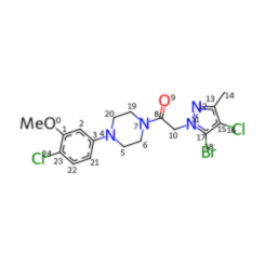 COc1cc(N2CCN(C(=O)Cn3nc(C)c(Cl)c3Br)CC2)ccc1Cl